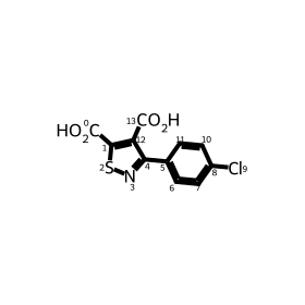 O=C(O)c1snc(C2=C=C=C(Cl)C=C2)c1C(=O)O